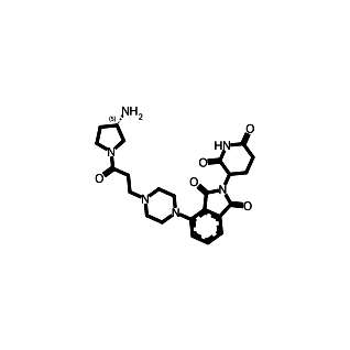 N[C@H]1CCN(C(=O)CCN2CCN(c3cccc4c3C(=O)N(C3CCC(=O)NC3=O)C4=O)CC2)C1